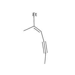 CC#CC=C(C)CC